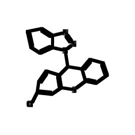 Clc1ccc2c(c1)Sc1ccccc1C2n1nnc2ccccc21